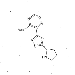 COc1nccnc1-c1cc(C2CCCN2)on1